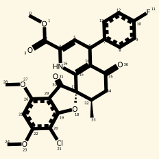 COC(=O)C1=CC(c2ccc(F)cc2)C2=C(N1)[C@@]1(Oc3c(Cl)c(OC)cc(OC)c3C1=O)[C@H](C)CC2=O